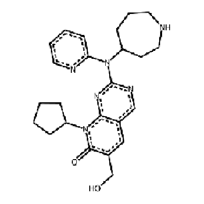 O=c1c(CO)cc2cnc(N(c3ccccn3)C3CCCNCC3)nc2n1C1CCCC1